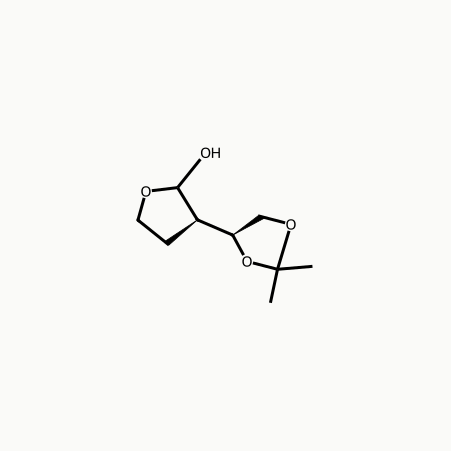 CC1(C)OC[C@H]([C@H]2CCOC2O)O1